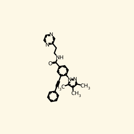 Cc1nn(-c2ccc(C(=O)NCCc3cnccn3)cc2C#Cc2ccccc2)c(C)c1C